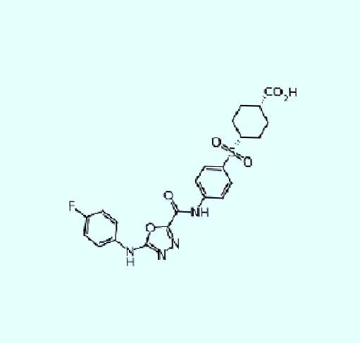 O=C(Nc1ccc(S(=O)(=O)[C@H]2CC[C@@H](C(=O)O)CC2)cc1)c1nnc(Nc2ccc(F)cc2)o1